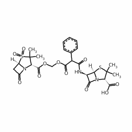 CC1(C)S[C@@H]2[C@H](NC(=O)C(C(=O)OCOC(=O)[C@@H]3N4C(=O)C[C@H]4S(=O)(=O)C3(C)C)c3ccccc3)C(=O)N2[C@H]1C(=O)O